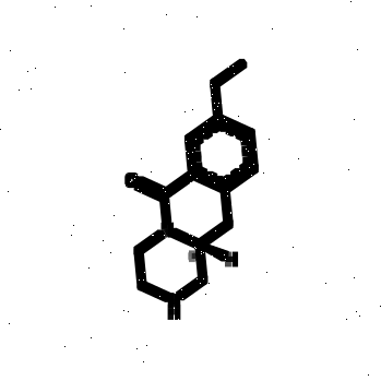 CCc1ccc2c(c1)C(=O)N1CCNC[C@H]1C2